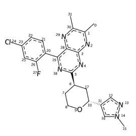 Cc1nc2nc([C@@H]3CCO[C@@H](c4cnn(C)c4)C3)nc(-c3ccc(Cl)cc3F)c2nc1C